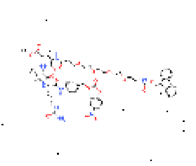 COC(=O)CC[C@@H](NC(=O)CCOCCOCCOCCOCCNC(=O)OCC1c2ccccc2-c2ccccc21)C(=O)N[C@H](C(=O)N[C@@H](CCCNC(N)=O)C(=O)Nc1ccc(COC(=O)Oc2ccc([N+](=O)[O-])cc2)cc1)C(C)C